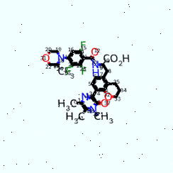 Cc1nc(-c2ccc(C[C@H](NC(=O)c3c(F)cc(N4CCOC[C@@H]4C(F)(F)F)c(F)c3F)C(=O)O)c3c2OCCC3)c(=O)n(C)c1C